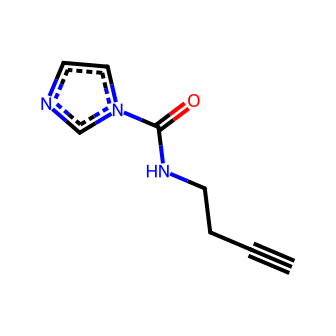 C#CCCNC(=O)n1ccnc1